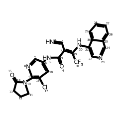 N=C/C(C(=O)Nc1cnc(N2CCCC2=O)c(Cl)c1)=C(\Nc1cncc2ccccc12)C(F)(F)F